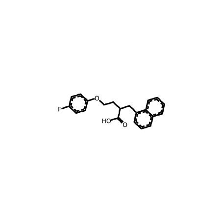 O=C(O)C(CCOc1ccc(F)cc1)Cc1cccc2ccccc12